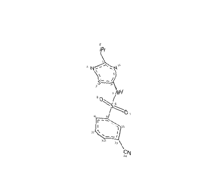 CC(C)c1nsc(NS(=O)(=O)c2cccc(C#N)c2)n1